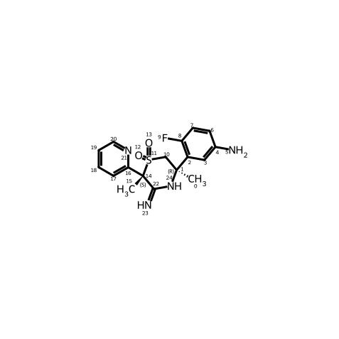 C[C@@]1(c2cc(N)ccc2F)CS(=O)(=O)[C@@](C)(c2ccccn2)C(=N)N1